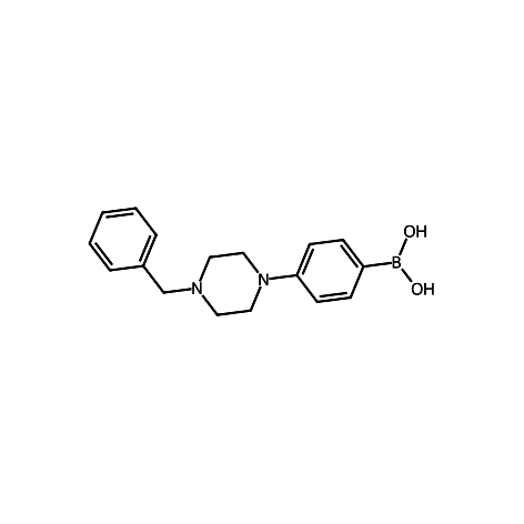 OB(O)c1ccc(N2CCN(Cc3ccccc3)CC2)cc1